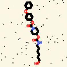 O=C(NCCCCCCO)OC1CCN(C(=O)Oc2ccc(Oc3ccccc3)cc2)CC1